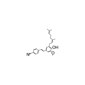 COc1cc(C=Cc2ccc(C#N)cc2)cc(CC=C(C)CCC=C(C)C)c1O